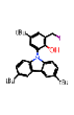 CC(C)(C)c1cc(CI)c(O)c(-n2c3ccc(C(C)(C)C)cc3c3cc(C(C)(C)C)ccc32)c1